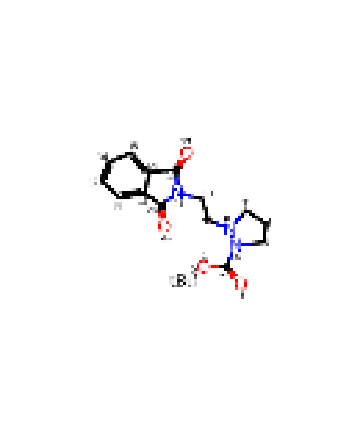 CC(C)(C)OC(=O)N1CCCN1CCN1C(=O)c2ccccc2C1=O